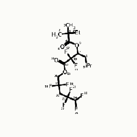 CCC(C)(C)C(=O)OC(CC(C)C)C(F)(F)C(=O)OCC(F)(F)CC(F)(F)C(F)F